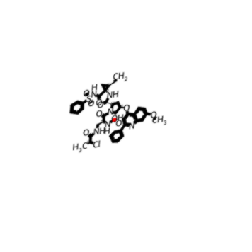 C=C[C@@H]1C[C@]1(NC(=O)[C@@H]1C[C@@H](Oc2cc(-c3ccccc3)nc3cc(OC)ccc23)CN1C(=O)[C@H](CNC(=O)[C@H](C)Cl)NC(=O)O)C(=O)NS(=O)(=O)c1ccccc1